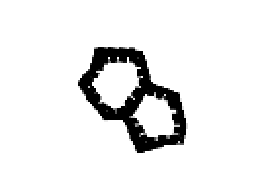 [c]1cccc2cscc12